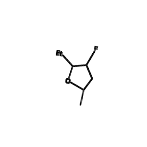 CCC1OC(C)CC1F